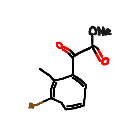 COC(=O)C(=O)c1cccc(Br)c1C